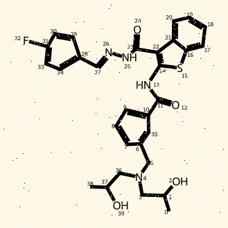 CC(O)CN(Cc1cccc(C(=O)Nc2sc3ccccc3c2C(=O)NN=Cc2ccc(F)cc2)c1)CC(C)O